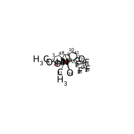 COC1CCC2(CC1)Cc1ccc(OC(F)(F)C(F)F)cc1C21NC(=O)N(C)C1=O